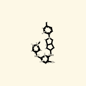 Cc1ccc(N2CC3CC(Nc4nc(Nc5cnn(C)c5)ncc4Cl)CC3C2)nc1